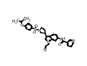 CC(C)Oc1ccc(S(=O)(=O)N2CCC(c3cn(CC=O)c4cc(NC(=O)c5cccnc5)ccc34)C2)cc1